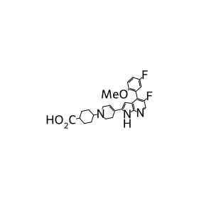 COc1ccc(F)cc1-c1c(F)cnc2[nH]c(C3=CCN(C4CCC(C(=O)O)CC4)CC3)cc12